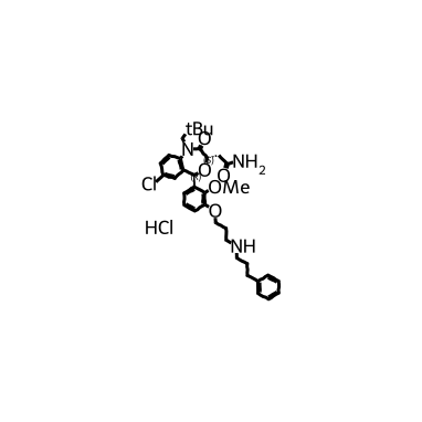 COc1c(OCCCNCCCc2ccccc2)cccc1[C@@H]1O[C@@H](CC(N)=O)C(=O)N(CC(C)(C)C)c2ccc(Cl)cc21.Cl